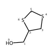 OCC1CS[CH]S1